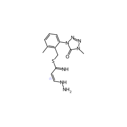 Cc1cccc(-n2nnn(C)c2=O)c1CSC(=N)/C=C\NN